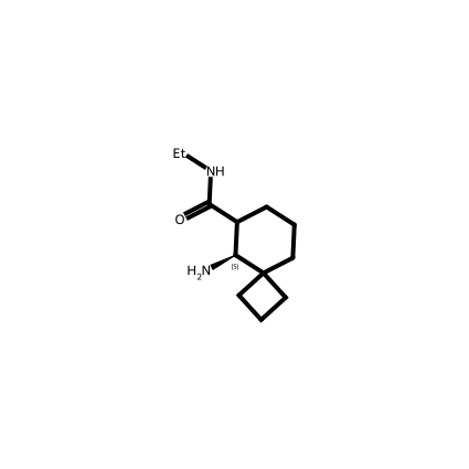 CCNC(=O)C1CCCC2(CCC2)[C@H]1N